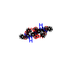 O=S(=O)(O)c1cc(Nc2cc(Oc3ccccc3)nc(Oc3ccccc3)n2)ccc1/C=C/c1ccc(Nc2cc(Oc3ccccc3)nc(Oc3ccccc3)n2)cc1S(=O)(=O)O